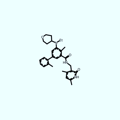 CCN(c1cc(-c2ccccc2C)cc(C(=O)NCc2c(C)cc(C)[nH]c2=O)c1C)C1CCOCC1